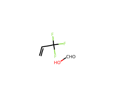 C=CC(F)(F)F.O=CO